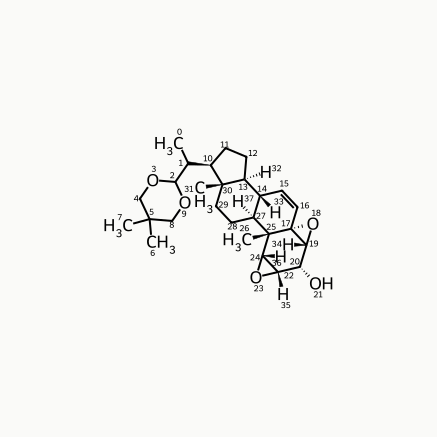 CC(C1OCC(C)(C)CO1)[C@H]1CC[C@H]2[C@@H]3C=C[C@@]45O[C@@H]4[C@H](O)[C@@H]4O[C@@H]4[C@]5(C)[C@H]3CC[C@]12C